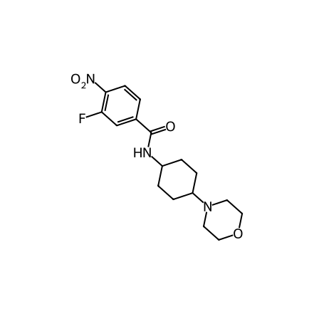 O=C(NC1CCC(N2CCOCC2)CC1)c1ccc([N+](=O)[O-])c(F)c1